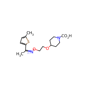 C/C(=N/OCCOC1CCN(C(=O)O)CC1)c1ccc(C)s1